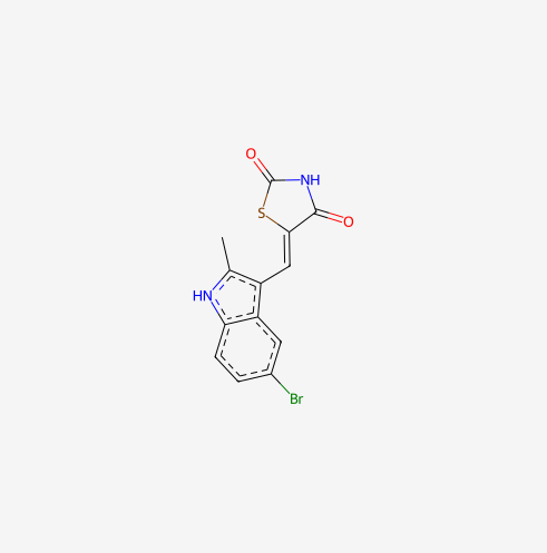 Cc1[nH]c2ccc(Br)cc2c1C=C1SC(=O)NC1=O